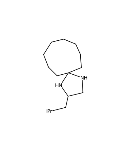 CC(C)CC1CNC2(CCCCCCCC2)N1